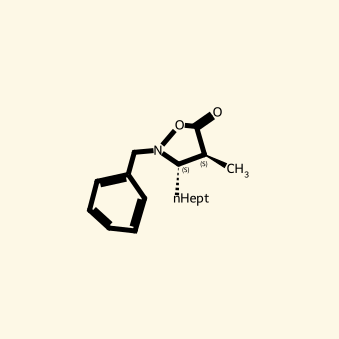 CCCCCCC[C@H]1[C@H](C)C(=O)ON1Cc1ccccc1